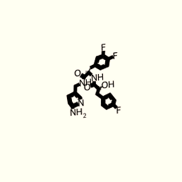 Nc1ccc(CNC(=O)[C@H](Cc2ccc(F)c(F)c2)NC(=O)[C@H](O)Cc2ccc(F)cc2)cn1